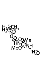 COc1nc(NCCCN2CCOCC2)nc(OC)c1NC(=O)c1ccc(Oc2ccnc([Si](C)(C)C)n2)o1